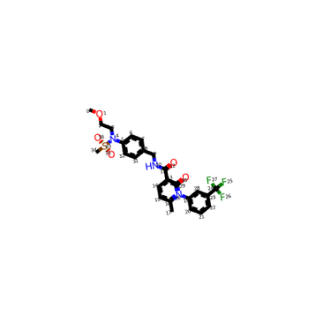 COCCN(c1ccc(CNC(=O)c2ccc(C)n(-c3cccc(C(F)(F)F)c3)c2=O)cc1)S(C)(=O)=O